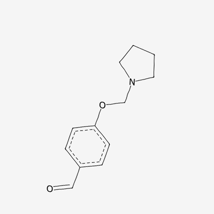 O=Cc1ccc(OCN2CCCC2)cc1